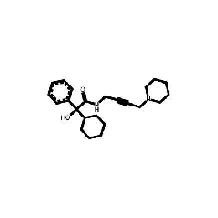 O=C(NCC#CCN1CCCCC1)C(O)(c1ccccc1)C1CCCCC1